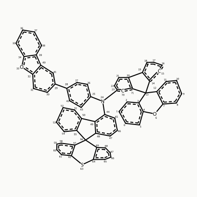 c1ccc2c(c1)Oc1ccccc1C21c2ccccc2-c2ccc(N(c3ccc(-c4ccc5oc6ccccc6c5c4)cc3)c3cccc4c3-c3ccccc3C43c4ccccc4Sc4ccccc43)cc21